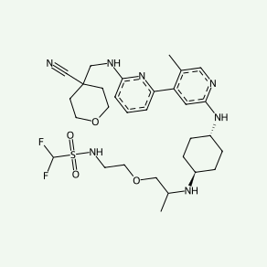 Cc1cnc(N[C@H]2CC[C@H](NC(C)COCCNS(=O)(=O)C(F)F)CC2)cc1-c1cccc(NCC2(C#N)CCOCC2)n1